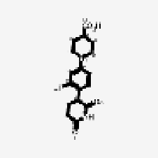 O=C1CCC(c2ccc(N3CCC(C(=O)O)CC3)cc2F)C(=O)N1